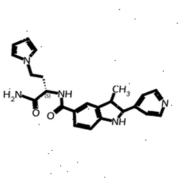 CC1c2cc(C(=O)N[C@@H](CCn3cccc3)C(N)=O)ccc2NC1c1ccncc1